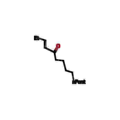 CCC=CC(=O)CCCCCCCCC